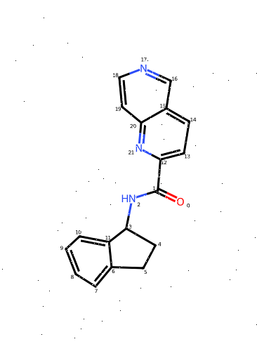 O=C(NC1CCc2ccccc21)c1ccc2cnccc2n1